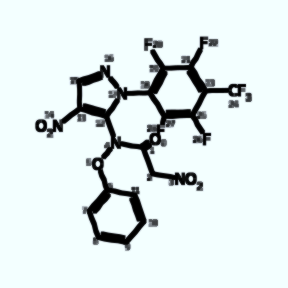 O=C(C[N+](=O)[O-])N(Oc1ccccc1)c1c([N+](=O)[O-])cnn1-c1c(F)c(F)c(C(F)(F)F)c(F)c1F